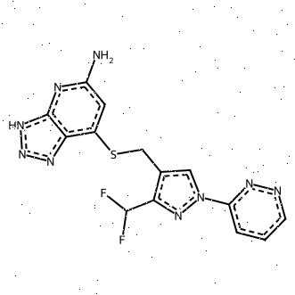 Nc1cc(SCc2cn(-c3cccnn3)nc2C(F)F)c2nn[nH]c2n1